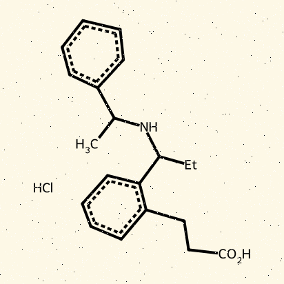 CCC(NC(C)c1ccccc1)c1ccccc1CCC(=O)O.Cl